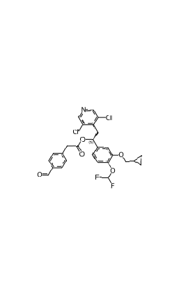 O=Cc1ccc(CC(=O)O[C@@H](Cc2c(Cl)cncc2Cl)c2ccc(OC(F)F)c(OCC3CC3)c2)cc1